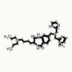 CCCN(CCC)CCCCC1NC(=O)c2ccc(CN(Cc3ncc[nH]3)Cc3nccn3C)cc2NC1=O